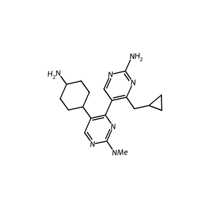 CNc1ncc(C2CCC(N)CC2)c(-c2cnc(N)nc2CC2CC2)n1